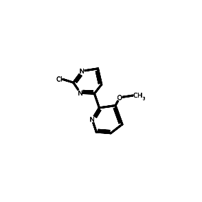 COc1cccnc1-c1ccnc(Cl)n1